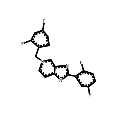 Fc1ccc(Cn2ccc3nc(-c4cc(F)ccc4F)nc-3c2)c(F)c1